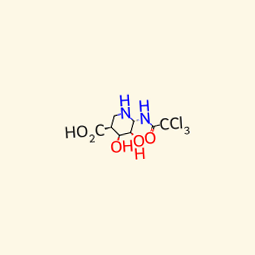 O=C(O)[C@H]1CN[C@H](NC(=O)C(Cl)(Cl)Cl)[C@@H](O)[C@H]1O